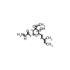 C/C=C(C)/C=C/C1O[C@H](CC(=O)NN)CC2(OC2C)[C@@H]1O